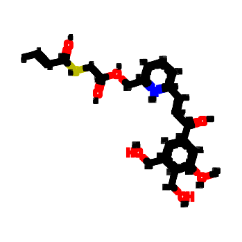 C/C=C/C(=O)SCC(=O)OCc1cccc(/C=C/C(=O)c2cc(CO)c(CO)c(OC)c2)n1